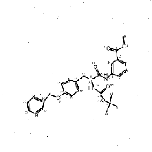 COC(=O)c1cccc(NC(=O)[C@H](Cc2ccc(OCc3ccccc3)cc2)NC(=O)OC(C)(C)C)c1